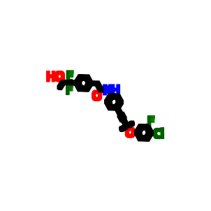 CC(O)C(F)(F)c1ccc(CC(=O)Nc2ccc(C#CC(C)(C)Oc3ccc(Cl)c(F)c3)cc2)cc1